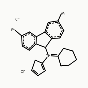 CC(C)c1ccc2c(c1)-c1cc(C(C)C)ccc1[CH]2[Ti+2]([C]1=CC=CC1)=[C]1CCCCC1.[Cl-].[Cl-]